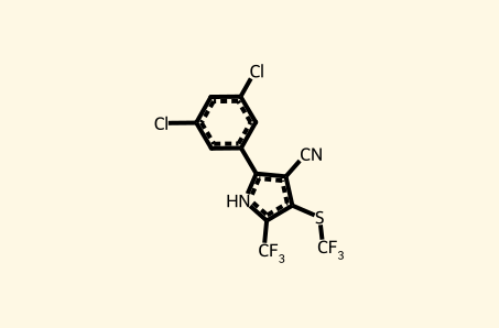 N#Cc1c(-c2cc(Cl)cc(Cl)c2)[nH]c(C(F)(F)F)c1SC(F)(F)F